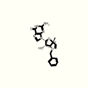 C=C[C@@]1(C)O[C@@H](n2cnc3c(=O)[nH]c(N)nc32)[C@@H](O)[C@@H]1OCc1ccccc1